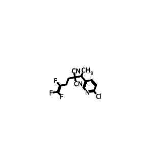 CC(c1ccc(Cl)nc1)C(C#N)(C#N)CCC(F)=C(F)F